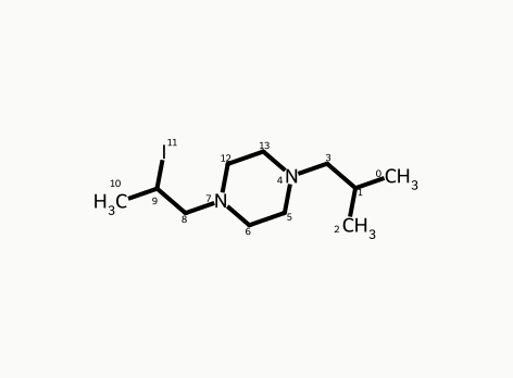 CC(C)CN1CCN(CC(C)I)CC1